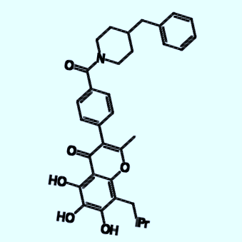 Cc1oc2c(CC(C)C)c(O)c(O)c(O)c2c(=O)c1-c1ccc(C(=O)N2CCC(Cc3ccccc3)CC2)cc1